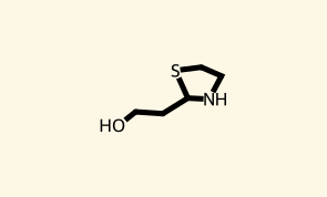 OCCC1NCCS1